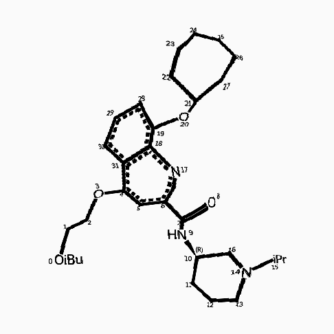 CC(C)COCCOc1cc(C(=O)N[C@@H]2CCCN(C(C)C)C2)nc2c(OC3CCCCCC3)cccc12